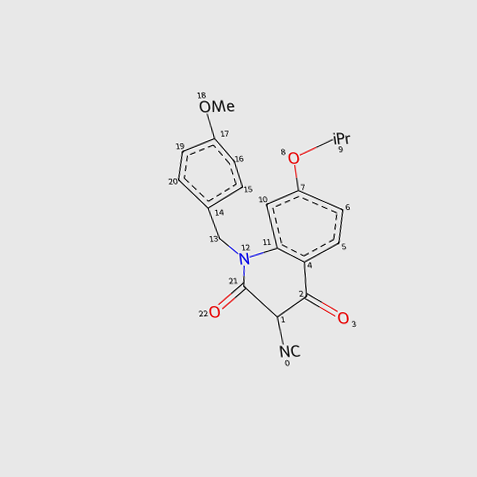 [C-]#[N+]C1C(=O)c2ccc(OC(C)C)cc2N(Cc2ccc(OC)cc2)C1=O